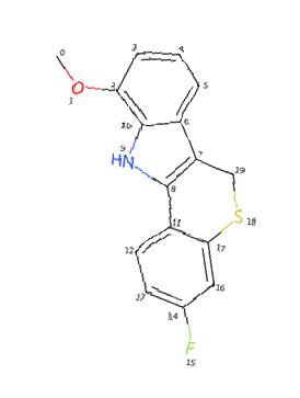 COc1cccc2c3c([nH]c12)-c1ccc(F)cc1SC3